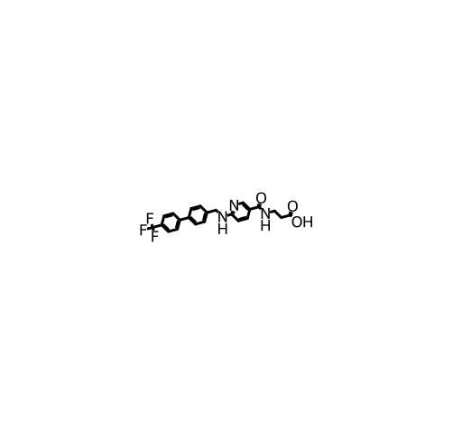 O=C(O)CCNC(=O)c1ccc(NCc2ccc(-c3ccc(C(F)(F)F)cc3)cc2)nc1